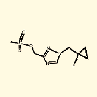 CS(=O)(=O)OCc1ncn(CC2(F)CC2)n1